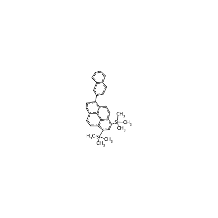 C[Si](C)(C)c1cc([Si](C)(C)C)c2ccc3c(-c4ccc5ccccc5c4)ccc4ccc1c2c43